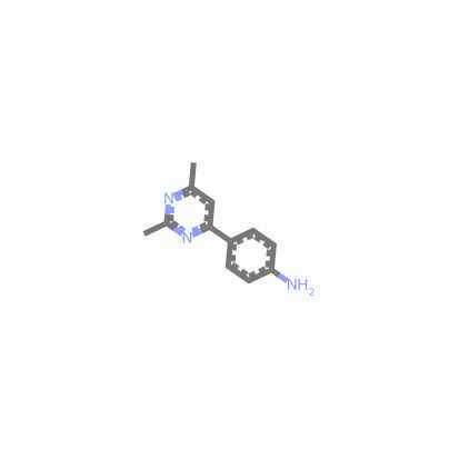 Cc1cc(-c2ccc(N)cc2)nc(C)n1